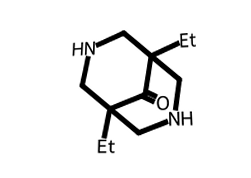 CCC12CNCC(CC)(CNC1)C2=O